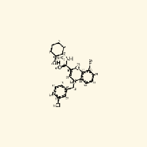 O=C(N[C@H]1CCCC[C@@H]1O)C1=CN(Cc2ccnc(Cl)c2)c2cccc(F)c2O1